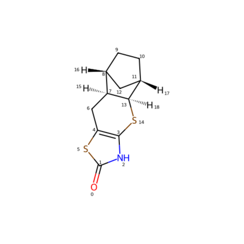 O=c1[nH]c2c(s1)C[C@H]1[C@@H]3CC[C@@H](C3)[C@H]1S2